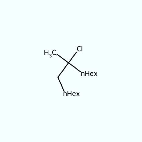 CCCCCCCC(C)(Cl)CCCCCC